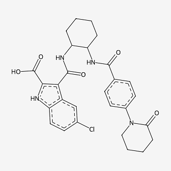 O=C(NC1CCCCC1NC(=O)c1c(C(=O)O)[nH]c2ccc(Cl)cc12)c1ccc(N2CCCCC2=O)cc1